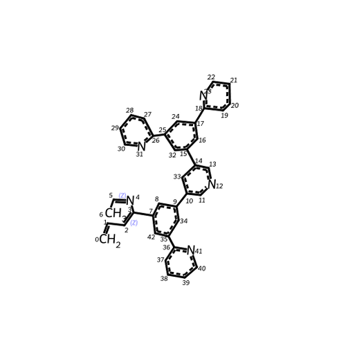 C=C/C=C(\N=C/C)c1cc(-c2cncc(-c3cc(-c4ccccn4)cc(-c4ccccn4)c3)c2)cc(-c2ccccn2)c1